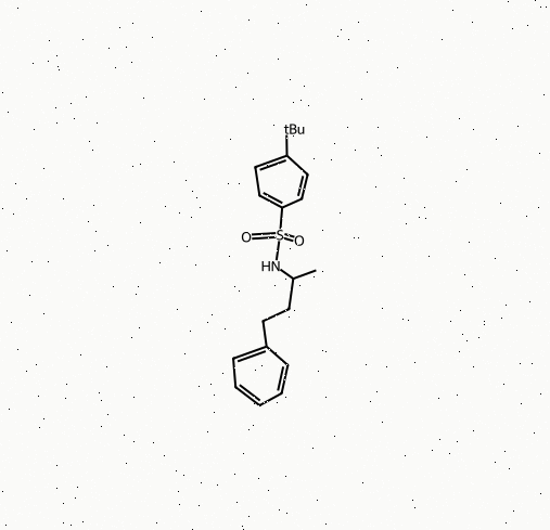 CC(CCc1ccccc1)NS(=O)(=O)c1ccc(C(C)(C)C)cc1